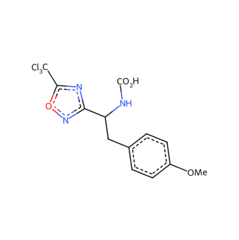 COc1ccc(CC(NC(=O)O)c2noc(C(Cl)(Cl)Cl)n2)cc1